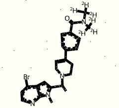 [2H]C([2H])([2H])N(C(=O)c1ccc(C2=CCN(C(C)c3cc4c(Br)ccnc4n3C)CC2)cc1)C([2H])([2H])[2H]